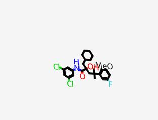 COc1ccc(F)cc1C(C)(C)CC(O)(CC1CCCCC1)C(=O)Nc1cc(Cl)cc(Cl)c1